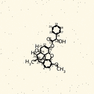 COc1ccc2c3c1OC1C(OC(=O)[C@H](O)c4ccccc4)=CC[C@@]4(O)[C@@H](C2)N(C)CCC314